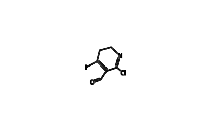 O=CC1=C(I)CCN=C1Cl